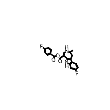 CC1Cc2c([nH]c3cc(F)ccc23)C(C(=O)OC(=O)c2ccc(F)cc2)=CN1